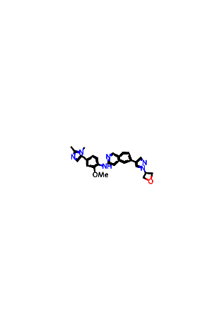 COc1cc(-c2cnc(C)n2C)ccc1Nc1cc2cc(-c3cnn(C4COC4)c3)ccc2cn1